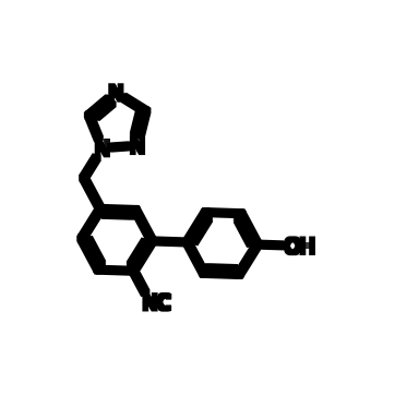 [C-]#[N+]c1ccc(Cn2cncn2)cc1-c1ccc(O)cc1